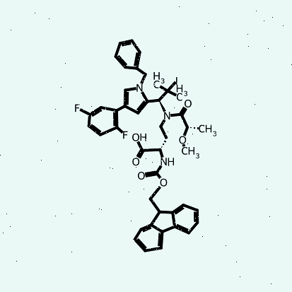 CO[C@@H](C)C(=O)N(CC[C@H](NC(=O)OCC1c2ccccc2-c2ccccc21)C(=O)O)[C@@H](c1cc(-c2cc(F)ccc2F)cn1Cc1ccccc1)C(C)(C)I